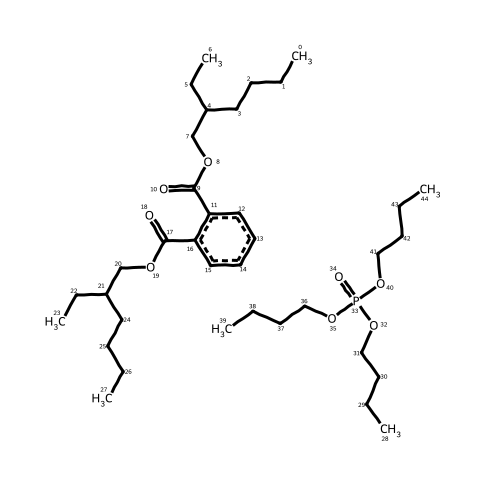 CCCCC(CC)COC(=O)c1ccccc1C(=O)OCC(CC)CCCC.CCCCOP(=O)(OCCCC)OCCCC